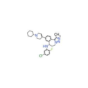 Cc1nnn2c1-c1ccc(C3=CCN(C4CCCCC4)CC3)cc1C(Nc1cc(Cl)ccc1F)CC2